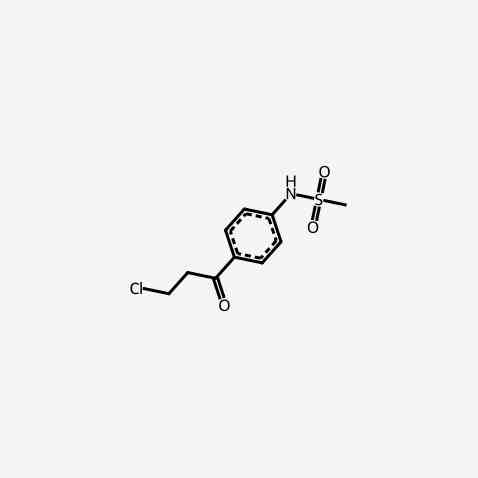 CS(=O)(=O)Nc1ccc(C(=O)CCCl)cc1